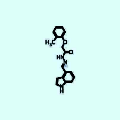 Cc1ccccc1OCC(=O)N/N=C/c1cccc2[nH]ccc12